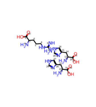 N=C(N)NCCCC(N)C(=O)O.NC(Cc1c[nH]cn1)C(=O)O.NC(Cc1c[nH]cn1)C(=O)O